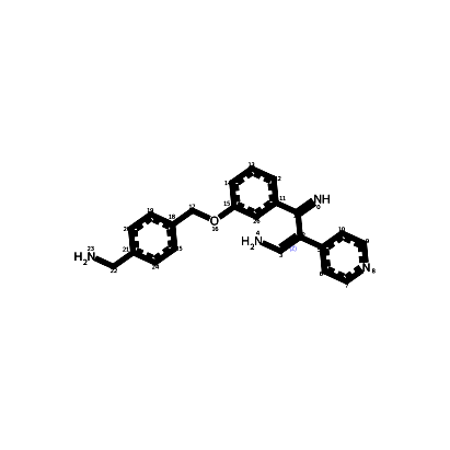 N=C(/C(=C\N)c1ccncc1)c1cccc(OCc2ccc(CN)cc2)c1